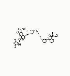 CC[C@@H]1[C@H](F)C(=O)N[C@@H]1COc1ncc(C#C[C@H]2CC[C@H](CN(C)CCCCCc3cccc(Oc4cccc5c4C(=O)NC(=O)C5)c3)CC2)c2cc(C(N)=O)c(OC)cc12